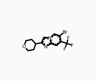 FC(F)(F)c1cc2nc(C3CCOCC3)cn2cc1Br